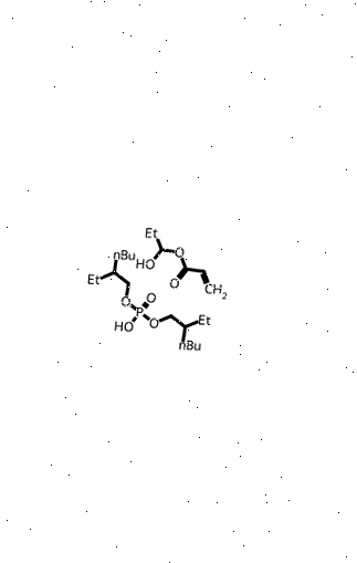 C=CC(=O)OC(O)CC.CCCCC(CC)COP(=O)(O)OCC(CC)CCCC